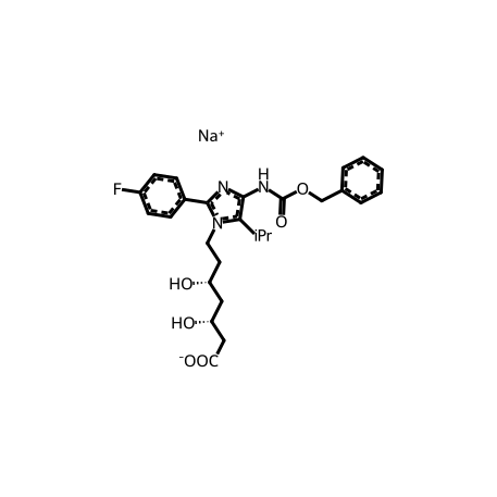 CC(C)c1c(NC(=O)OCc2ccccc2)nc(-c2ccc(F)cc2)n1CC[C@@H](O)C[C@@H](O)CC(=O)[O-].[Na+]